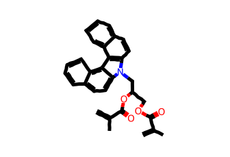 C=C(C)C(=O)OCC(Cn1c2ccc3ccccc3c2c2c3ccccc3ccc21)OC(=O)C(=C)C